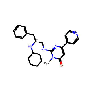 Cn1c(NC[C@H](Cc2ccccc2)NC2CCCCC2)nc(-c2ccncc2)cc1=O